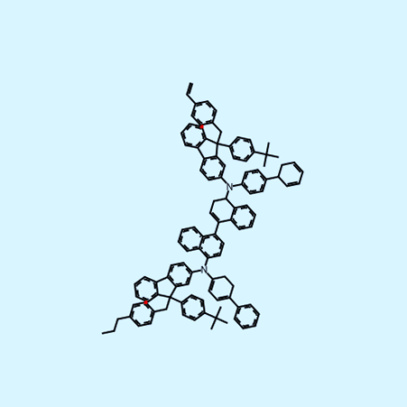 C=Cc1ccc(CC2(c3ccc(C(C)(C)C)cc3)c3ccccc3-c3ccc(N(c4ccc(C5C=CC=CC5)cc4)C4CC=C(c5ccc(N(C6=CC=C(c7ccccc7)CC6)c6ccc7c(c6)C(Cc6ccc(CCC)cc6)(c6ccc(C(C)(C)C)cc6)c6ccccc6-7)c6ccccc56)c5ccccc54)cc32)cc1